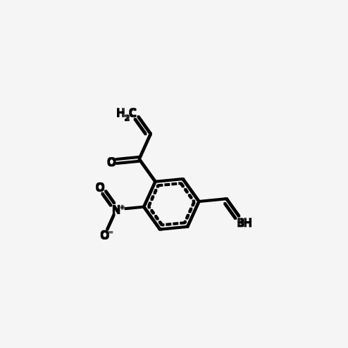 B=Cc1ccc([N+](=O)[O-])c(C(=O)C=C)c1